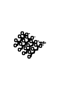 O=CC(=O)CC(=O)CC(=O)[O-].O=CC(=O)CC(=O)CC(=O)[O-].O=CC(=O)CC(=O)CC(=O)[O-].O=CC(=O)CC(=O)CC(=O)[O-].[Ti+4]